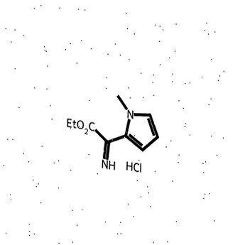 CCOC(=O)C(=N)c1cccn1C.Cl